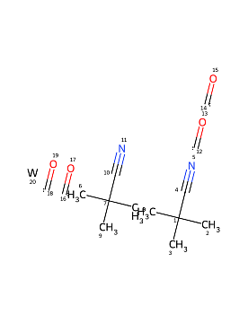 CC(C)(C)C#N.CC(C)(C)C#N.[C]=O.[C]=O.[C]=O.[C]=O.[W]